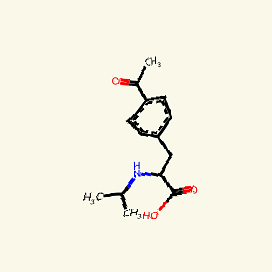 CC(=O)c1ccc(CC(NC(C)C)C(=O)O)cc1